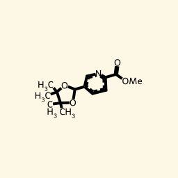 COC(=O)c1ccc(C2OC(C)(C)C(C)(C)O2)cn1